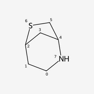 C1CC2CC(CS2)N1